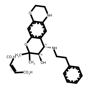 CC1(C)Oc2cc3c(cc2[C@H](NCCc2ccccc2)[C@H]1O)NCCO3.O=C(O)/C=C\C(=O)O